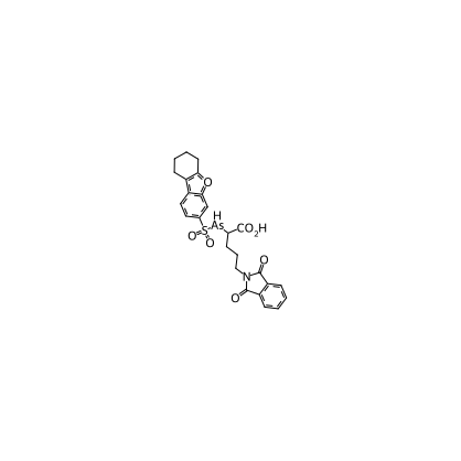 O=C(O)C(CCCN1C(=O)c2ccccc2C1=O)[AsH]S(=O)(=O)c1ccc2c3c(oc2c1)CCCC3